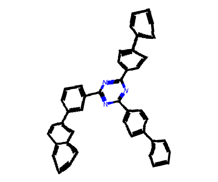 c1ccc(-c2ccc(-c3nc(-c4ccc(-c5ccccc5)cc4)nc(-c4cccc(-c5ccc6ccccc6c5)c4)n3)cc2)cc1